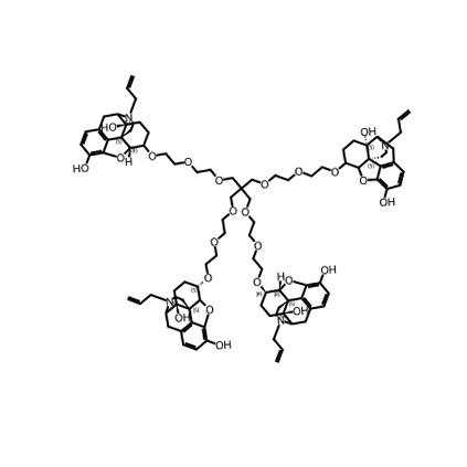 C=CCN1CC[C@]23c4c5ccc(O)c4OC2C(OCCOCCOCC(COCCOCCOC2CC[C@@]4(O)C6Cc7ccc(O)c8c7[C@@]4(CCN6CC=C)[C@H]2O8)(COCCOCCO[C@H]2CC[C@@]4(O)C6Cc7ccc(O)c8c7[C@@]4(CCN6CC=C)C2O8)COCCOCCO[C@@H]2CC[C@@]4(O)C6Cc7ccc(O)c8c7[C@@]4(CCN6CC=C)[C@H]2O8)CC[C@@]3(O)C1C5